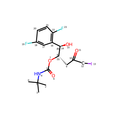 CC(C)(C)NC(=O)O[C@@H](CC(=O)CI)[C@H](O)c1cc(F)ccc1F